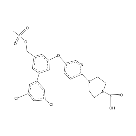 CS(=O)(=O)OCc1cc(Oc2ccc(N3CCN(C(=O)O)CC3)nc2)cc(-c2cc(Cl)cc(Cl)c2)c1